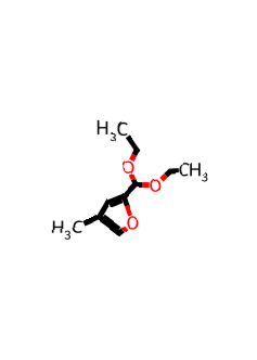 CCOC(OCC)c1cc(C)co1